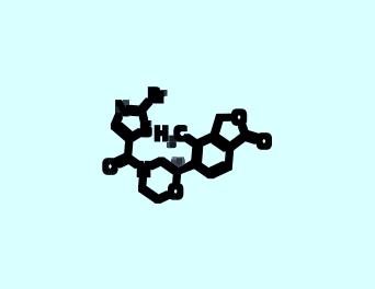 Cc1c([C@@H]2CN(C(=O)c3cnc(Br)s3)CCO2)ccc2c1COC2=O